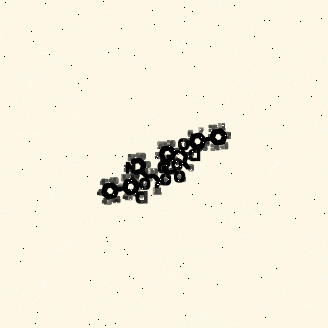 CC(CC(Oc1ccc(-c2ccccc2)cc1Cl)c1cccnc1)OC(=O)C(=O)OC(C)CC(Oc1ccc(-c2ccccc2)cc1Cl)c1cccnc1